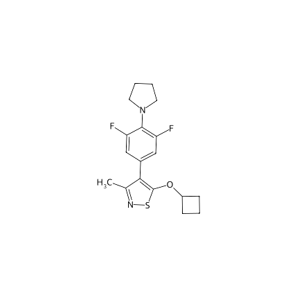 Cc1nsc(OC2CCC2)c1-c1cc(F)c(N2CCCC2)c(F)c1